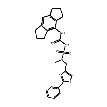 CN(Cc1csc(-c2ccccc2)n1)S(=O)(=O)NC(=O)Nc1c2c(cc3c1CCC3)CCC2